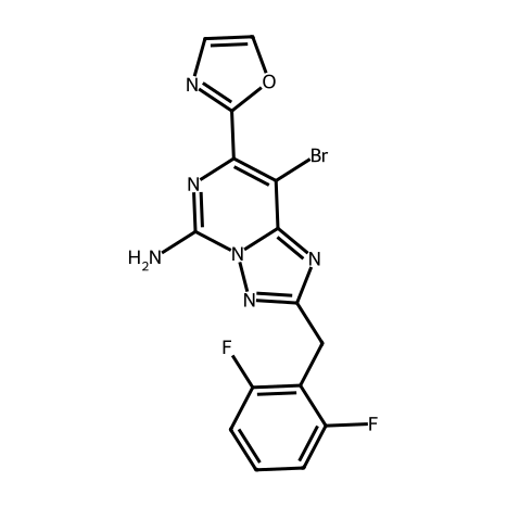 Nc1nc(-c2ncco2)c(Br)c2nc(Cc3c(F)cccc3F)nn12